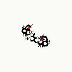 C[C@H]1[C@@H](CC(CO)C(O)C(CO)C[C@H]2O[C@@H]3O[C@]4(C)CC[C@H]5[C@H](C)CC[C@@H]([C@H]2C)[C@@]35OO4)O[C@@H]2O[C@]3(C)CC[C@H]4[C@H](C)CC[C@@H]1[C@@]24OO3